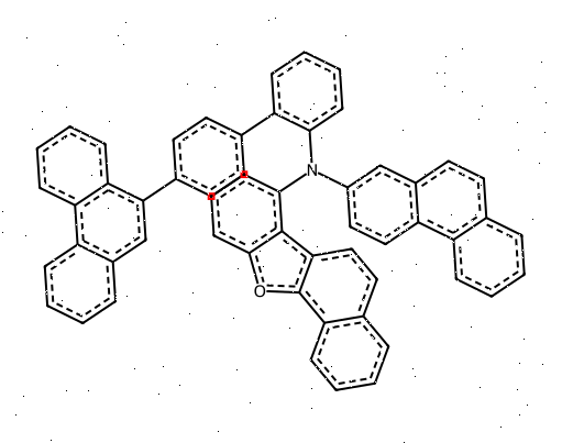 c1ccc(N(c2ccc3c(ccc4ccccc43)c2)c2cccc3oc4c5ccccc5ccc4c23)c(-c2ccc(-c3cc4ccccc4c4ccccc34)cc2)c1